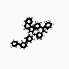 c1ccc(-c2cccc(-c3ccc(N(c4cccc(-c5oc6ccccc6c5-c5ccccc5)c4)c4ccc5c(ccc6ccccc65)c4)cc3)c2)cc1